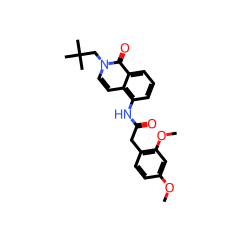 COc1ccc(CC(=O)Nc2cccc3c(=O)n(CC(C)(C)C)ccc23)c(OC)c1